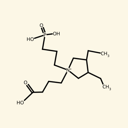 CCC1C[N+](CCCC(=O)O)(CCCP(=O)(O)O)CC1CC